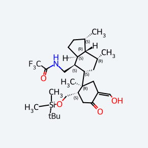 C[C@@H]1C[C@H]([C@@]2(C)CC(=CO)C(=O)C[C@@H]2CO[Si](C)(C)C(C)(C)C)[C@@H](CNC(=O)C(F)(F)F)[C@H]2CC[C@H](C)[C@@H]21